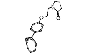 O=C1CCCN1CCOc1ccc(-c2ccccc2)cc1